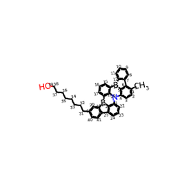 Cc1ccc2c3c1-c1ccccc1B3c1cccc3c1N2c1cccc2c1B3c1cc(CCCCCCCCO)ccc1-2